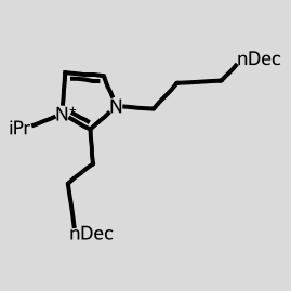 CCCCCCCCCCCCCn1cc[n+](C(C)C)c1CCCCCCCCCCCC